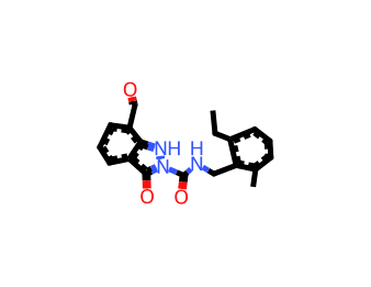 CCc1cccc(C)c1CNC(=O)n1[nH]c2c(C=O)cccc2c1=O